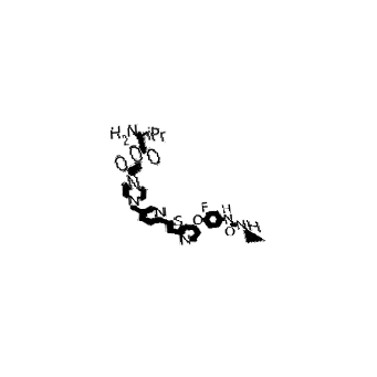 CC(C)[C@H](N)C(=O)OCC(=O)N1CCN(Cc2ccc(-c3cc4nccc(Oc5ccc(NC(=O)NC6CC6)cc5F)c4s3)nc2)CC1